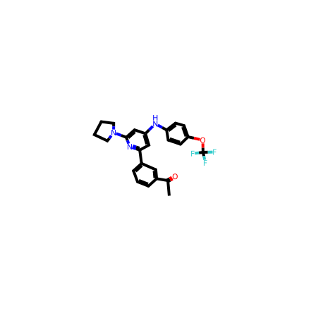 CC(=O)c1cccc(-c2cc(Nc3ccc(OC(F)(F)F)cc3)cc(N3CCCC3)n2)c1